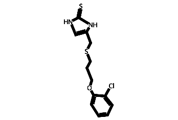 S=c1[nH]cc(CSCCCOc2ccccc2Cl)[nH]1